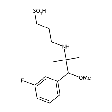 COC(c1cccc(F)c1)C(C)(C)NCCCS(=O)(=O)O